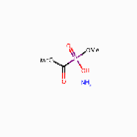 COC(=O)P(=O)(O)OC.N